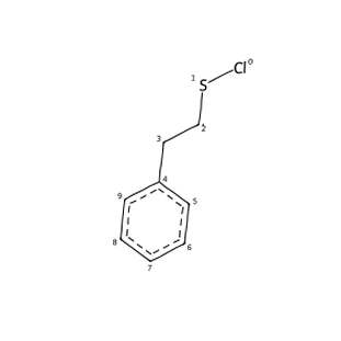 ClS[CH]Cc1ccccc1